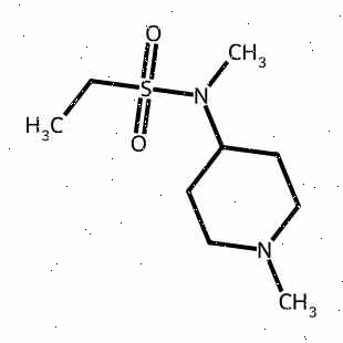 CCS(=O)(=O)N(C)C1CCN(C)CC1